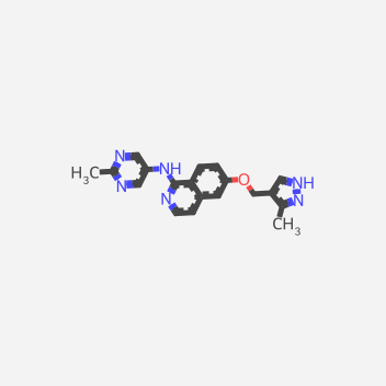 Cc1ncc(Nc2nccc3cc(OCc4c[nH]nc4C)ccc23)cn1